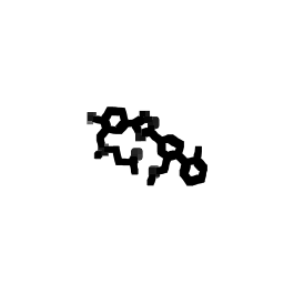 COCc1cc(-c2nc(-c3ccc(F)c(CN(C)CCC(C)=O)c3)no2)ccc1-c1ccccc1C